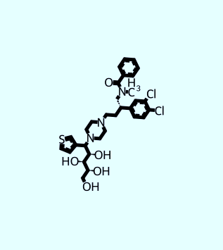 CN(C[C@@H](CCN1CCN(C(c2ccsc2)[C@H](O)[C@@H](O)[C@H](O)CO)CC1)c1ccc(Cl)c(Cl)c1)C(=O)c1ccccc1